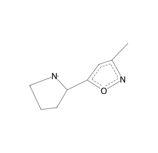 Cc1cc(C2CCC[N]2)on1